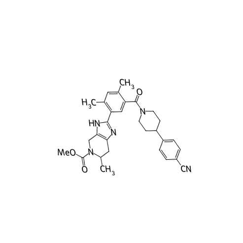 COC(=O)N1Cc2[nH]c(-c3cc(C(=O)N4CCC(c5ccc(C#N)cc5)CC4)c(C)cc3C)nc2CC1C